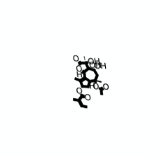 C/C=C(/C)C(=O)O[C@@H]1C[C@H]2C(=C1C)[C@@H]1OC(=O)[C@@](C)(O)[C@@]1(O)[C@@H](O)C[C@]2(C)OC(C)=O